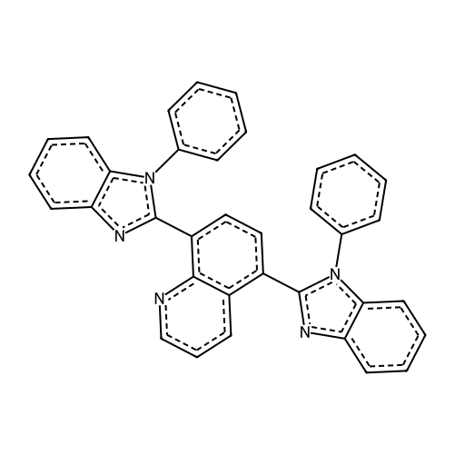 c1ccc(-n2c(-c3ccc(-c4nc5ccccc5n4-c4ccccc4)c4ncccc34)nc3ccccc32)cc1